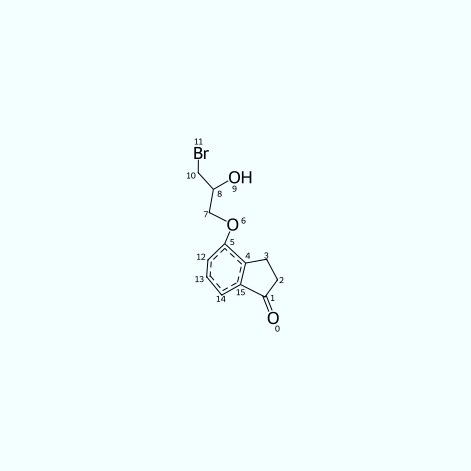 O=C1CCc2c(OCC(O)CBr)cccc21